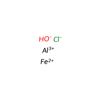 [Al+3].[Cl-].[Fe+2].[OH-]